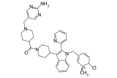 C[C@H]1C=C(Cn2c(-c3ccccn3)c(C3CCN(C(=O)C4CCN(Cc5cnc(N)nc5)CC4)CC3)c3ccccc32)C=CC1Cl